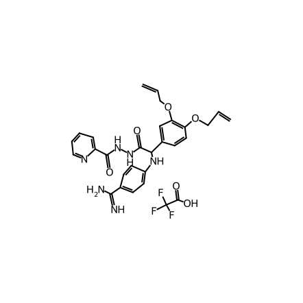 C=CCOc1ccc(C(Nc2ccc(C(=N)N)cc2)C(=O)NNC(=O)c2ccccn2)cc1OCC=C.O=C(O)C(F)(F)F